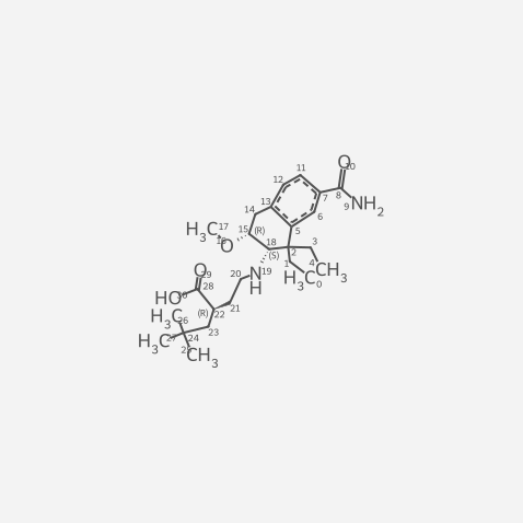 CCC1(CC)c2cc(C(N)=O)ccc2C[C@@H](OC)[C@H]1NCC[C@@H](CC(C)(C)C)C(=O)O